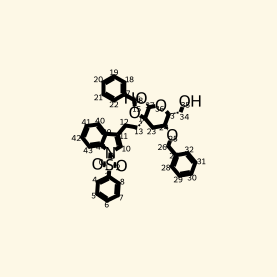 O=S(=O)(c1ccccc1)n1cc(CC[C@@]2(OCc3ccccc3)C[C@H](OCc3ccccc3)[C@@H](CO)O[C@H]2O)c2ccccc21